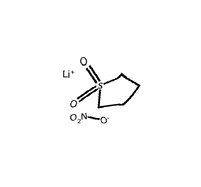 O=S1(=O)CCCC1.O=[N+]([O-])[O-].[Li+]